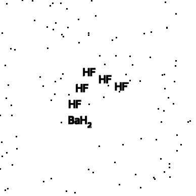 F.F.F.F.F.[BaH2]